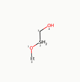 CCO[SiH2]CO